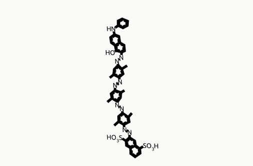 Cc1cc(N=Nc2cc(C)c(N=Nc3ccc4cc(Nc5ccccc5)ccc4c3O)cc2C)c(C)cc1N=Nc1cc(C)c(N=Nc2cc3c(S(=O)(=O)O)cccc3cc2S(=O)(=O)O)cc1C